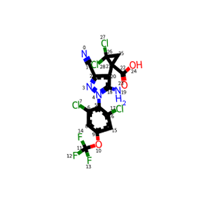 N#Cc1nn(-c2c(Cl)cc(OC(F)(F)F)cc2Cl)c(N)c1C1(C(=O)O)CC1(Cl)Cl